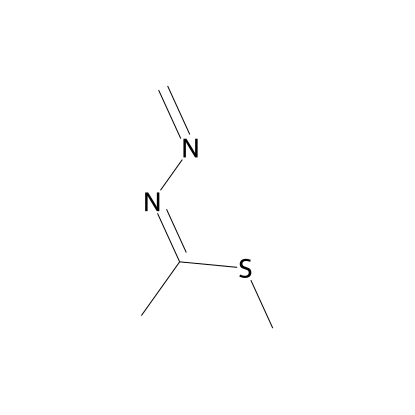 C=NN=C(C)SC